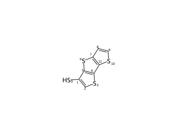 Sc1csc2c1sc1ccsc12